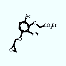 CCCc1c(OCC2CO2)ccc(C(C)=O)c1OCC(=O)OCC